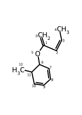 C=C(/C=C\C)OC1C=CC=CC1C